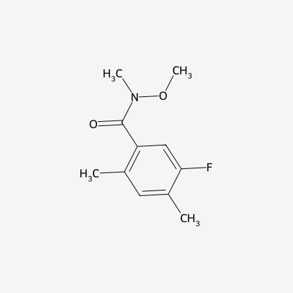 CON(C)C(=O)c1cc(F)c(C)cc1C